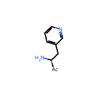 CC(=O)[C@@H](N)Cc1cccnc1